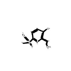 CS(=O)(=O)c1ccc(Cl)c(CO)n1